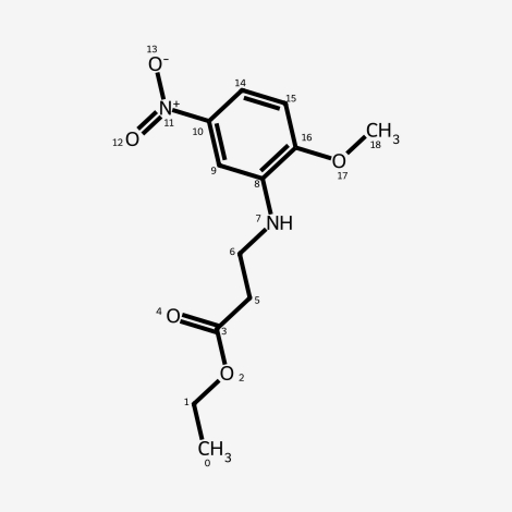 CCOC(=O)CCNc1cc([N+](=O)[O-])ccc1OC